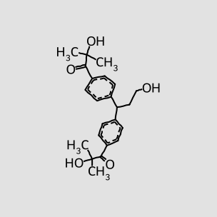 CC(C)(O)C(=O)c1ccc(C(CCO)c2ccc(C(=O)C(C)(C)O)cc2)cc1